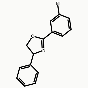 Brc1cccc(C2=NC(c3ccccc3)CO2)c1